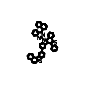 c1ccc2c(-c3nc(-n4c5ccc(-c6ccc7sc8ccc9ccccc9c8c7c6)cc5c5c6c7ccccc7sc6c6ccccc6c54)nc4ccccc34)cccc2c1